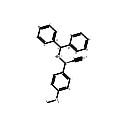 COc1ccc([C@H](C#N)NC(c2ccccc2)c2ccccc2)cc1